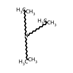 CC(C)CCCCCCCCCCCN(CCCCCCCCCCCC(C)C)CCCCCCCCCCCC(C)C